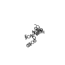 CCC1CC2CC(C1)C(NC(=O)c1cnc(-c3cn(C4CCC(F)(F)CC4)c4cc(OC5CCC(N6CCOCC6)CC5)ccc34)nc1C(F)(F)F)(C(=O)O)C2